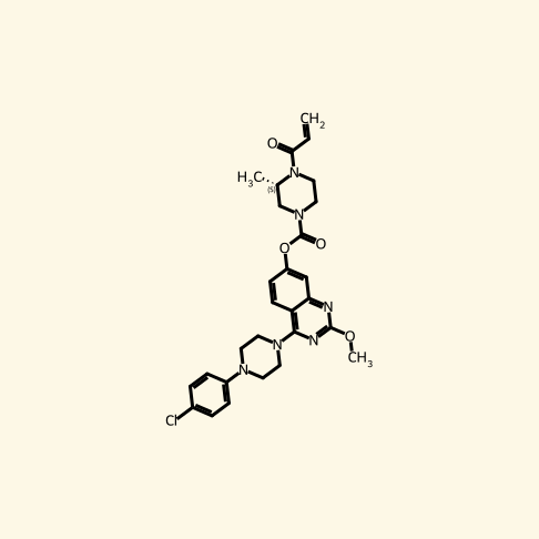 C=CC(=O)N1CCN(C(=O)Oc2ccc3c(N4CCN(c5ccc(Cl)cc5)CC4)nc(OC)nc3c2)C[C@@H]1C